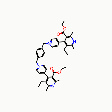 CCOC(=O)c1c(C)nc(C)c(CC)c1-c1cc[n+](Cc2ccc(C[n+]3ccc(-c4c(CC)c(C)nc(C)c4C(=O)OCC)cc3)cc2)cc1